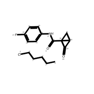 CCCCCCl.O=C(Nc1ccc(F)cc1)C12CC1C2=O